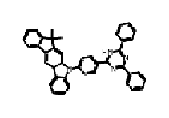 CC1(C)C2=CC3C(C=C2c2ccccc21)c1ccccc1N3c1ccc(C2N=C(c3ccccc3)N=C(c3ccccc3)N2)cc1